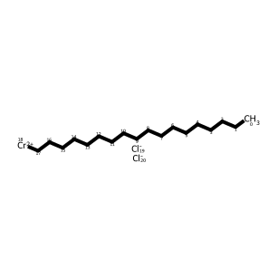 CCCCCCCCCCCCCCCCC[CH2][Cr+2].[Cl-].[Cl-]